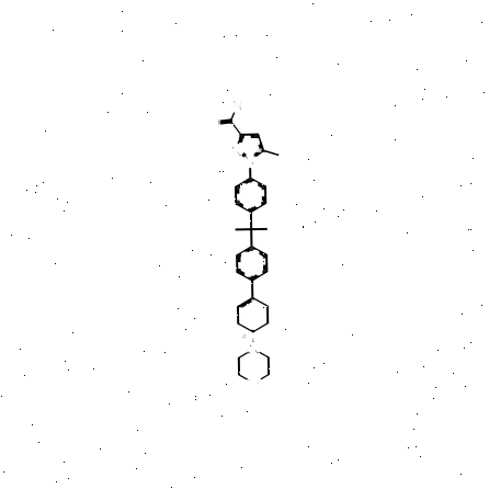 Cc1cc(C(N)=O)nn1-c1ccc(C(C)(C)c2ccc(C3=CC[C@H](N4CCOCC4)CC3)cc2)cc1